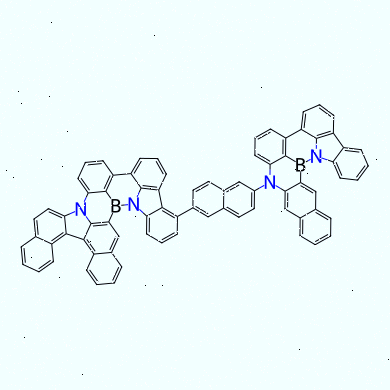 c1cc2c3c(c1)N(c1ccc4cc(-c5cccc6c5c5cccc7c5n6B5c6c-7cccc6-n6c7ccc8ccccc8c7c7c8ccccc8cc5c76)ccc4c1)c1cc4ccccc4cc1B3n1c3ccccc3c3cccc-2c31